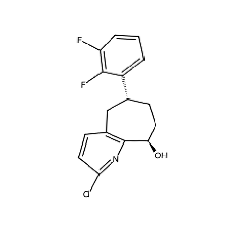 O[C@@H]1CC[C@@H](c2cccc(F)c2F)Cc2ccc(Cl)nc21